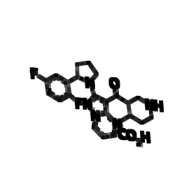 O=C(O)CC1CCNCC1C(=O)c1c(N2CCCC2c2cc(F)ccc2F)nn2cccnc12